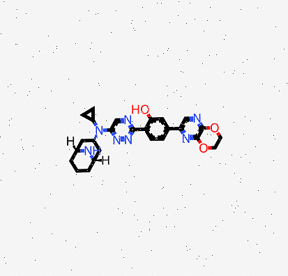 Oc1cc(-c2cnc3c(n2)OCCO3)ccc1-c1ncc(N(C2CC2)[C@@H]2C[C@H]3CCC[C@@H](C2)N3)nn1